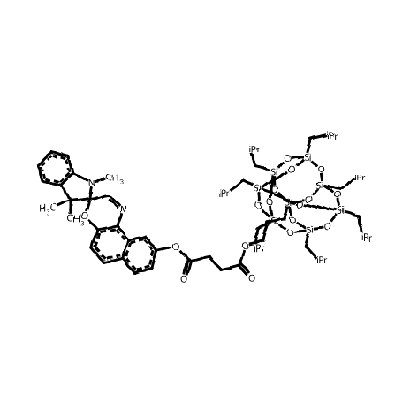 CC(C)C[Si]12O[Si]3(CCCOC(=O)CCC(=O)Oc4ccc5ccc6c(c5c4)N=CC4(O6)N(C)c5ccccc5C4(C)C)O[Si]4(CC(C)C)O[Si](CC(C)C)(O1)O[Si]1(CC(C)C)O[Si](CC(C)C)(O2)O[Si](CC(C)C)(O3)O[Si](CC(C)C)(O4)O1